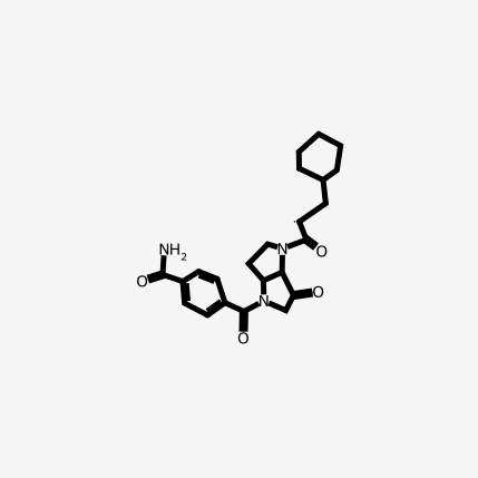 NC(=O)c1ccc(C(=O)N2CC(=O)C3C2CCN3C(=O)[CH]CC2CCCCC2)cc1